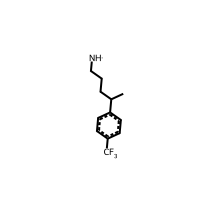 CC(CCC[NH])c1ccc(C(F)(F)F)cc1